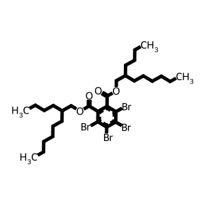 CCCCCCC(CCCC)COC(=O)c1c(Br)c(Br)c(Br)c(Br)c1C(=O)OCC(CCCC)CCCCCC